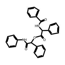 O=C(NC(C(=O)OC(C(=O)Nc1ccccc1)c1ccccc1)c1ccccc1)c1ccccc1